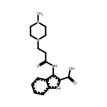 CN1CCN(CCC(=O)Nc2c(C(=O)O)[se]c3ccccc23)CC1